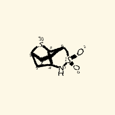 O=S1(=O)NC2CC3CC1C2S3